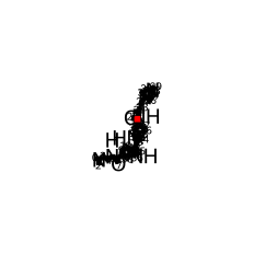 CN(C)CCNC(=O)c1ccc2c(-c3[c]c4ccc(C(=O)NCCCN5CCN(C)CC5)cc4[nH]3)c[nH]c2c1